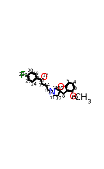 COc1cccc2c1CC1(CCN(CCCC(=O)c3ccc(F)cc3)C1)O2